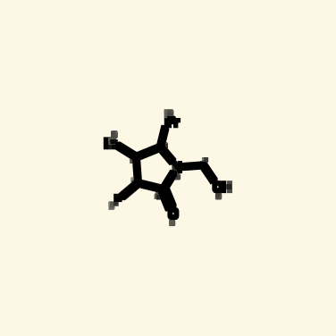 CCC1C(F)C(=O)N(CO)C1C(C)C